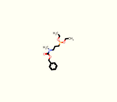 CCOP(CCCN(C)C(=O)OCc1ccccc1)OCC